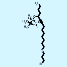 CCCCC(C#CCCCCCCCOCCCBr)O[Si](C)(C)C(C)(C)C